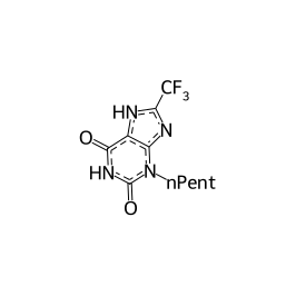 CCCCCn1c(=O)[nH]c(=O)c2[nH]c(C(F)(F)F)nc21